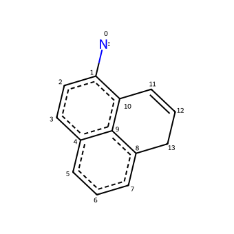 [N]c1ccc2cccc3c2c1C=CC3